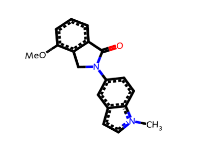 COc1cccc2c1CN(c1ccc3c(ccn3C)c1)C2=O